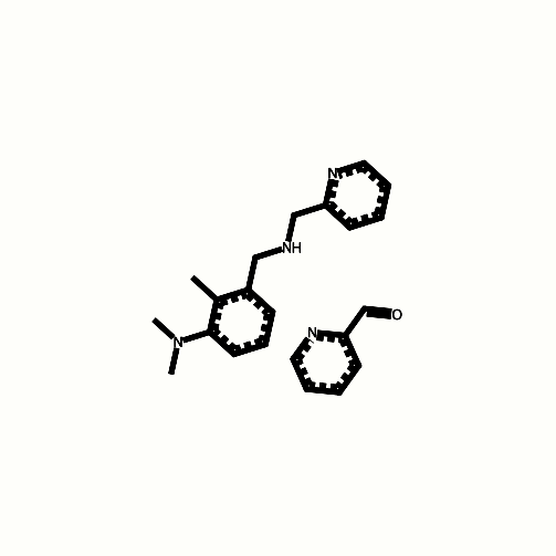 Cc1c(CNCc2ccccn2)cccc1N(C)C.O=Cc1ccccn1